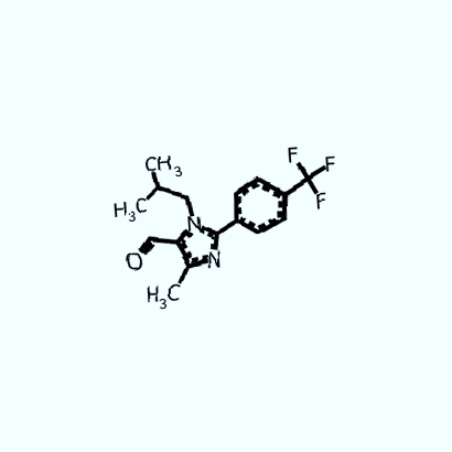 Cc1nc(-c2ccc(C(F)(F)F)cc2)n(CC(C)C)c1C=O